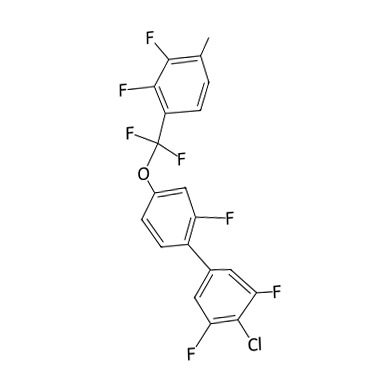 Cc1ccc(C(F)(F)Oc2ccc(-c3cc(F)c(Cl)c(F)c3)c(F)c2)c(F)c1F